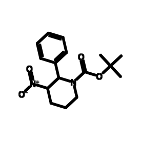 CC(C)(C)OC(=O)N1CCCC([N+](=O)[O-])C1c1ccccc1